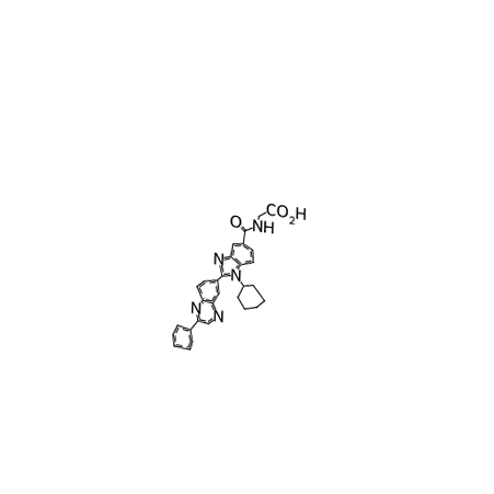 O=C(O)CNC(=O)c1ccc2c(c1)nc(-c1ccc3nc(-c4ccccc4)cnc3c1)n2C1CCCCC1